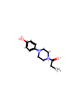 CCC(=O)N1CCN(c2ccc(O)cc2)CC1